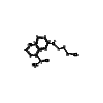 CC(=O)c1ccnc2ccc(OCCCCl)cc12